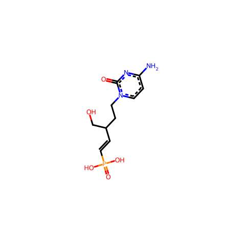 Nc1ccn(CCC(/C=C/P(=O)(O)O)CO)c(=O)n1